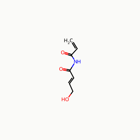 C=CC(=O)NC(=O)C=CCO